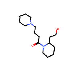 O=C(CCCN1CCCCC1)N1CCCCC1CCO